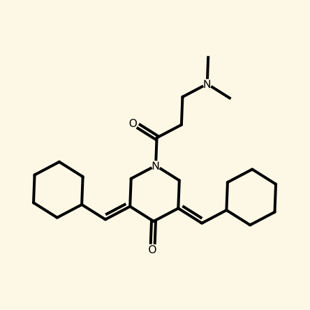 CN(C)CCC(=O)N1C/C(=C\C2CCCCC2)C(=O)/C(=C/C2CCCCC2)C1